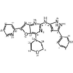 c1ccc(-c2cc(Nc3nc(N4CCOCC4)c4oc(-c5ccccn5)cc4n3)[nH]n2)cc1